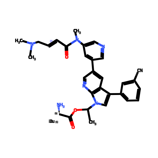 CC[C@H](C)[C@H](N)C(=O)OC(C)n1cc(-c2cccc(C#N)c2)c2cc(-c3cncc(N(C)C(=O)/C=C/CN(C)C)c3)cnc21